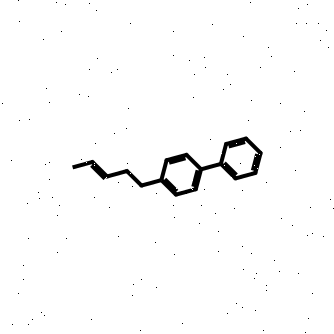 CC=CCCc1ccc(-c2ccccc2)cc1